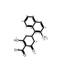 CCC(=O)C1=C(O)CC(c2c(C)ccc3ccccc23)CC1=O